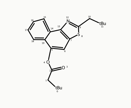 CC(C)(C)CC(=O)Oc1cc2sc(CC(C)(C)C)nc2c2ccccc12